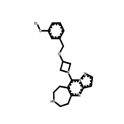 CCOc1cccc(COC2CN(c3c4c(nc5ccnn35)CCNCC4)C2)c1